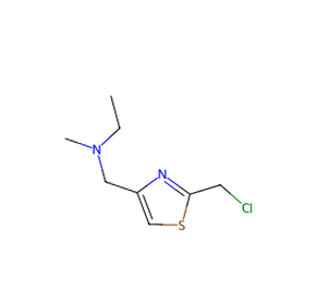 CCN(C)Cc1csc(CCl)n1